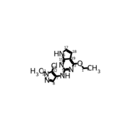 CCOc1nc(Nc2cnn(C)c2Cl)nc2[nH]ccc12